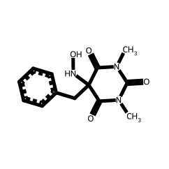 CN1C(=O)N(C)C(=O)C(Cc2ccccc2)(NO)C1=O